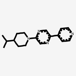 CC(C)C1CCN(c2cnc(-c3ccncc3)cn2)CC1